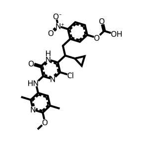 COc1nc(C)c(Nc2nc(Cl)c(C(Cc3cc(OC(=O)O)ccc3[N+](=O)[O-])C3CC3)[nH]c2=O)cc1C